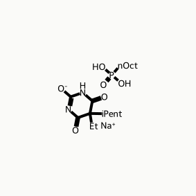 CCCC(C)C1(CC)C(=O)N=C([O-])NC1=O.CCCCCCCCP(=O)(O)O.[Na+]